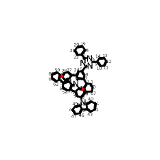 C1=CC(c2cc(-c3nc(-c4ccccc4)nc(-c4ccccc4)n3)cc(-c3ccccc3)c2-n2c3ccc(-n4c5ccccc5c5ccccc54)cc3c3ccc(-c4ccccc4)cc32)=CCC1